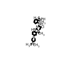 COc1cc(N2CCC(N(C)C)CC2)ccc1Nc1ncc(Cl)c(Nc2ccccc2P(C)(C)=P)n1